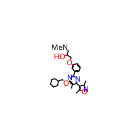 CNCC(O)COc1cccc(-c2nc(OCC3CCCCC3)c(C)c(-c3c(C)noc3C)n2)c1